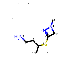 CC(CCN)SC1=NN(C)C1